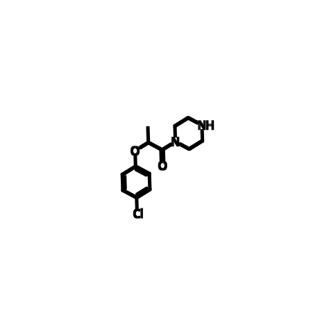 CC(Oc1ccc(Cl)cc1)C(=O)N1CCNCC1